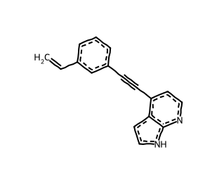 C=Cc1cccc(C#Cc2ccnc3[nH]ccc23)c1